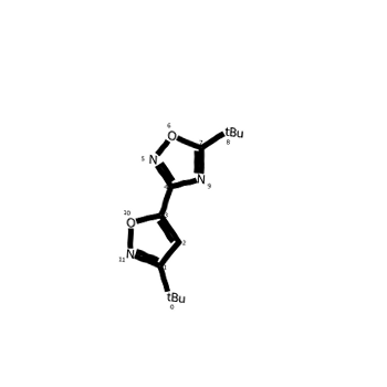 CC(C)(C)c1cc(-c2noc(C(C)(C)C)n2)on1